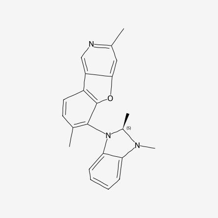 Cc1cc2oc3c(N4c5ccccc5N(C)[C@@H]4C)c(C)ccc3c2cn1